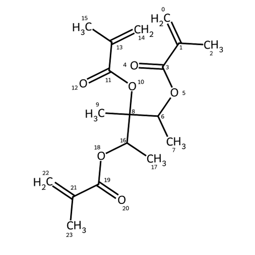 C=C(C)C(=O)OC(C)C(C)(OC(=O)C(=C)C)C(C)OC(=O)C(=C)C